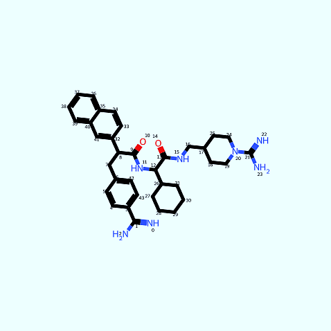 N=C(N)c1ccc(CC(C(=O)NC(C(=O)NCC2CCN(C(=N)N)CC2)C2CCCCC2)c2ccc3ccccc3c2)cc1